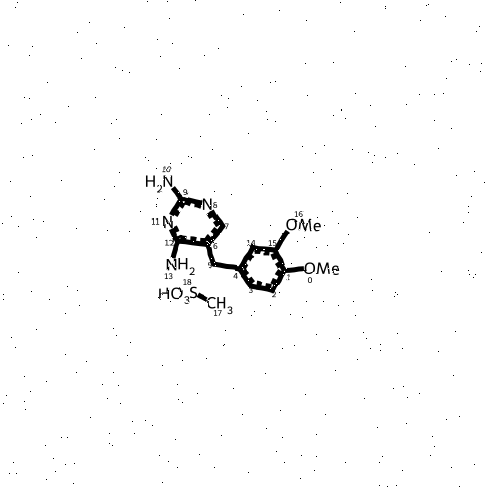 COc1ccc(Cc2cnc(N)nc2N)cc1OC.CS(=O)(=O)O